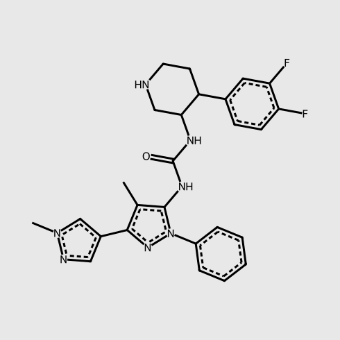 Cc1c(-c2cnn(C)c2)nn(-c2ccccc2)c1NC(=O)NC1CNCCC1c1ccc(F)c(F)c1